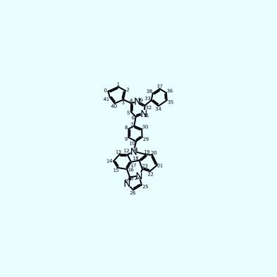 c1ccc(-c2cc(-c3ccc(-n4c5cccc6c5c5c4cccc5n4ccnc64)cc3)nc(-c3ccccc3)n2)cc1